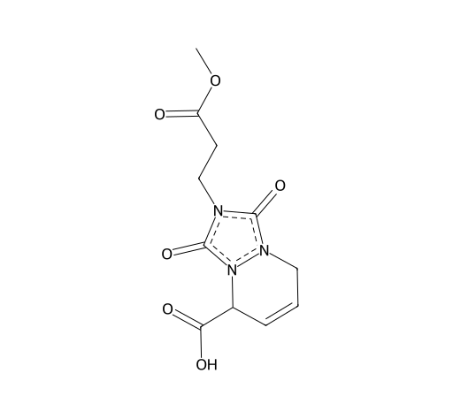 COC(=O)CCn1c(=O)n2n(c1=O)C(C(=O)O)C=CC2